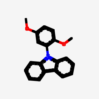 COc1ccc(OC)c(-n2c3ccccc3c3ccccc32)c1